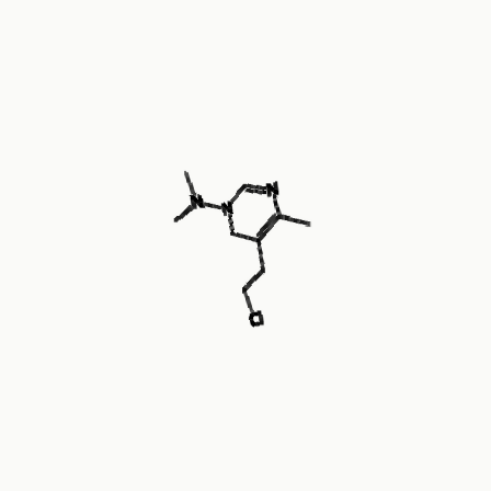 CC1=C(CCCl)CN(N(C)C)C=N1